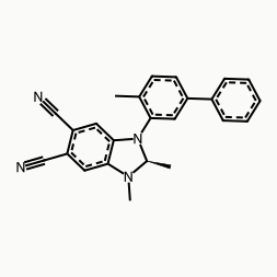 Cc1ccc(-c2ccccc2)cc1N1c2cc(C#N)c(C#N)cc2N(C)[C@@H]1C